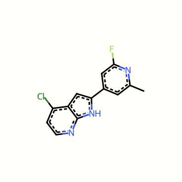 Cc1cc(-c2cc3c(Cl)ccnc3[nH]2)cc(F)n1